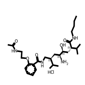 CCCCNC(=O)[C@@H](C[C@H](O)[C@@H](N)C[C@H](CNC(=O)c1ccccc1OCCNC(C)=O)C(C)C)C(C)C.Cl